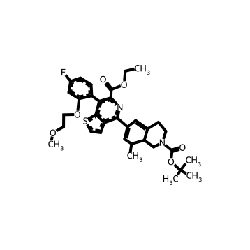 CCOC(=O)c1nc(C2=CC(C)C3CN(C(=O)OC(C)(C)C)CCC3=C2)c2ccsc2c1-c1ccc(F)cc1OCCOC